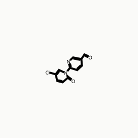 O=Cc1ccc(-n2cc(Cl)ccc2=O)nc1